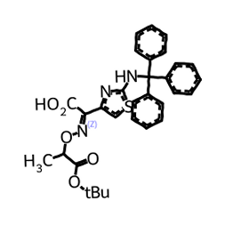 CC(O/N=C(\C(=O)O)c1csc(NC(c2ccccc2)(c2ccccc2)c2ccccc2)n1)C(=O)OC(C)(C)C